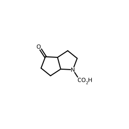 O=C1CCC2C1CCN2C(=O)O